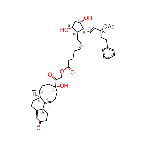 CC(=O)O[C@H](/C=C/[C@@H]1[C@@H](C/C=C\CCCC(=O)OCC(=O)[C@]2(O)CC/C=C3\[C@@H](CCC4=CC(=O)CC[C@@]43C)[C@@H](C)CC2)[C@@H](O)C[C@H]1O)CCc1ccccc1